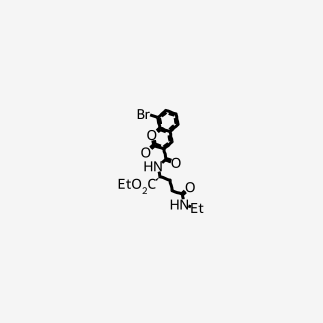 CCNC(=O)CC[C@@H](NC(=O)c1cc2cccc(Br)c2oc1=O)C(=O)OCC